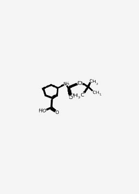 CC(C)(C)OC(=O)NC1C=C(C(=O)O)CCC1